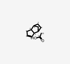 C1=CC2C3CCC(C3)C2C1.CC(=O)O